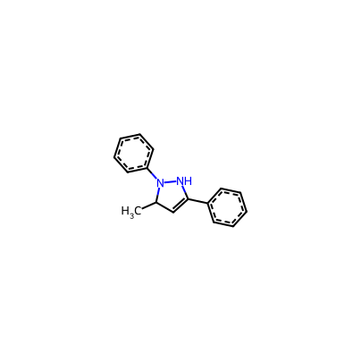 CC1C=C(c2ccccc2)NN1c1ccccc1